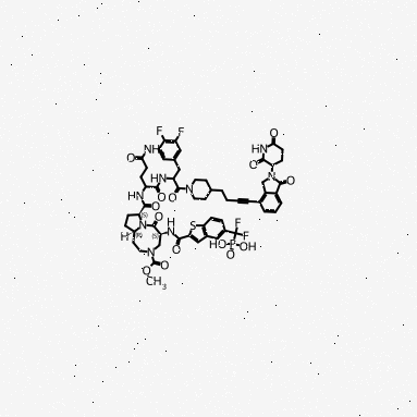 COC(=O)N1CC[C@H]2CC[C@@H](C(=O)NC(CCC(N)=O)C(=O)NC(Cc3ccc(F)c(F)c3)C(=O)N3CCC(CCC#Cc4cccc5c4CN(C4CCC(=O)NC4=O)C5=O)CC3)N2C(=O)[C@@H](NC(=O)c2cc3cc(C(F)(F)P(=O)(O)O)ccc3s2)C1